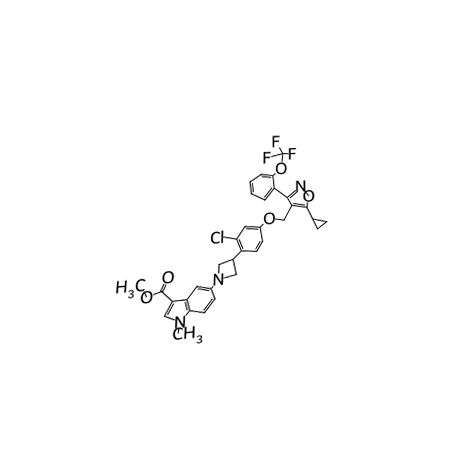 COC(=O)c1cn(C)c2ccc(N3CC(c4ccc(OCc5c(-c6ccccc6OC(F)(F)F)noc5C5CC5)cc4Cl)C3)cc12